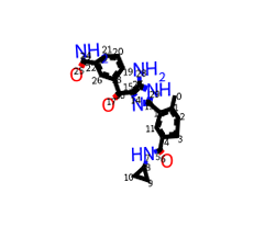 Cc1ccc(C(=O)NC2CC2)cc1-c1nc(C(=O)c2cccc(C(N)=O)c2)c(N)[nH]1